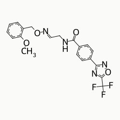 COc1ccccc1CON=CCNC(=O)c1ccc(-c2noc(C(F)(F)F)n2)cc1